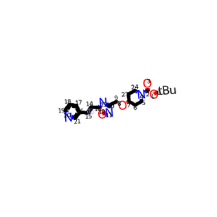 CC(C)(C)OC(=O)N1CCC(OCc2noc(/C=C/c3cccnc3)n2)CC1